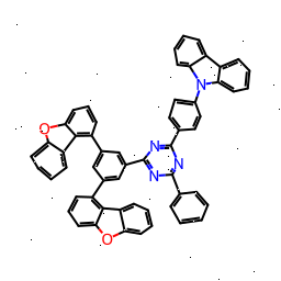 c1ccc(-c2nc(-c3ccc(-n4c5ccccc5c5ccccc54)cc3)nc(-c3cc(-c4cccc5oc6ccccc6c45)cc(-c4cccc5oc6ccccc6c45)c3)n2)cc1